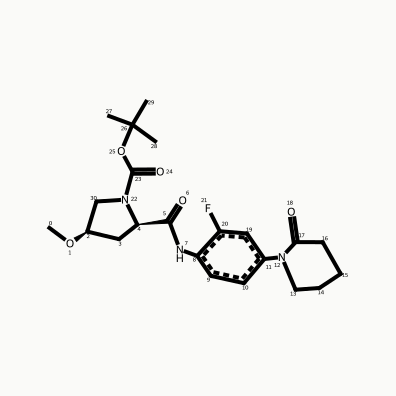 CO[C@@H]1C[C@H](C(=O)Nc2ccc(N3CCCCC3=O)cc2F)N(C(=O)OC(C)(C)C)C1